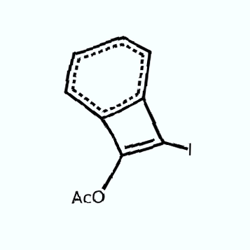 CC(=O)OC1=C(I)c2ccccc21